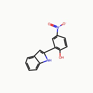 O=[N+]([O-])c1ccc(O)c(-c2cc3ccccc3[nH]2)c1